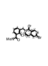 CNC(=O)c1cccc(Cn2ccc3cc(Br)ncc3c2=O)c1C